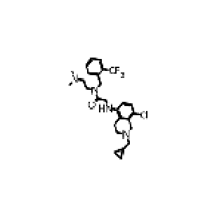 CN(C)CCN(Cc1ccccc1C(F)(F)F)C(=O)CNc1ccc(Cl)c2c1CCN(CC1CC1)C2